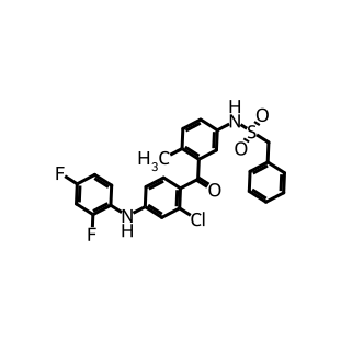 Cc1ccc(NS(=O)(=O)Cc2ccccc2)cc1C(=O)c1ccc(Nc2ccc(F)cc2F)cc1Cl